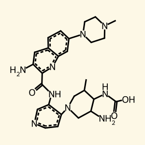 CC1CN(c2ccncc2NC(=O)c2nc3cc(N4CCN(C)CC4)ccc3cc2N)CC(N)C1NC(=O)O